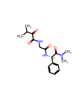 CC(C)C(=O)C(=O)NCC(=O)N[C@H](C(=O)N(C)C)c1ccccc1